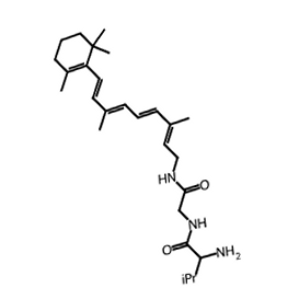 CC(C=CC1=C(C)CCCC1(C)C)=CC=CC(C)=CCNC(=O)CNC(=O)C(N)C(C)C